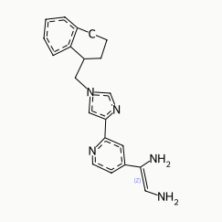 N/C=C(\N)c1ccnc(-c2cn(CC3CCCc4ccccc43)cn2)c1